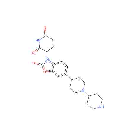 O=C1CCC(n2c(=O)oc3cc(C4CCN(C5CCNCC5)CC4)ccc32)C(=O)N1